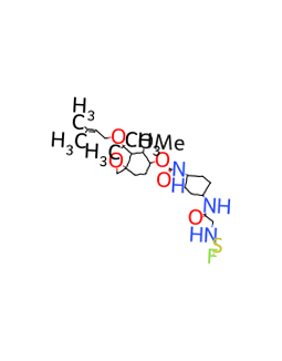 COC1C(OC(=O)N[C@H]2CC[C@H](NC(=O)CNSF)CC2)CCC2(CO2)C1C(C)(C)OCC=C(C)C